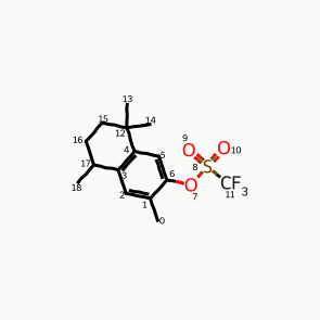 Cc1cc2c(cc1OS(=O)(=O)C(F)(F)F)C(C)(C)CCC2C